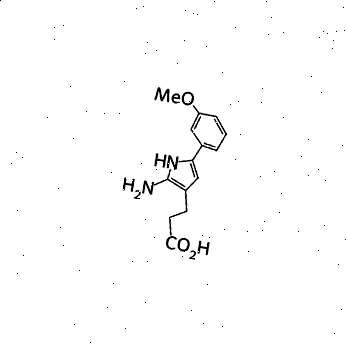 COc1cccc(-c2cc(CCC(=O)O)c(N)[nH]2)c1